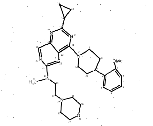 COc1ccccc1C1CCN(c2nc(C3CC3)nc3cnc(N(C)CCN4CCOCC4)cc23)CC1